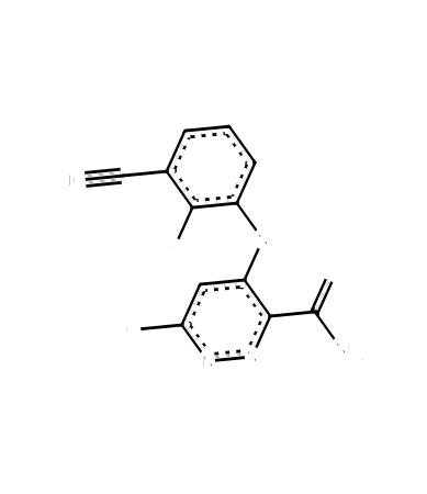 C#Cc1cccc(Nc2cc(Cl)nnc2C(N)=O)c1O